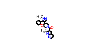 Cn1ncc2c1-c1ccccc1OC21CCN(C(=O)c2cc3cccnc3nc2C(F)(F)F)CC1